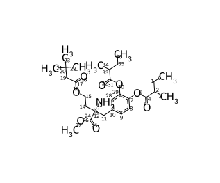 CCC(C)C(=O)Oc1ccc(C[C@](N)(CCOC(=O)CC(C)(C)C)C(=O)OC)cc1OC(=O)C(C)CC